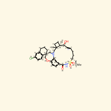 COC[C@H]1CC/C=C/[C@H](O)[C@@H]2CC[C@H]2CN2C[C@@]3(CCCc4cc(Cl)ccc43)COc3ccc(cc32)C(=O)NS1(=O)=O